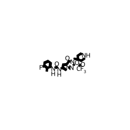 Cc1c(F)cccc1NC(=O)Nc1cc2c(=O)n(CC3(OC(=O)C(F)(F)F)CCNCC3)cnn2c1